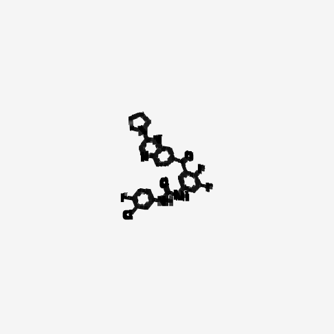 O=C(Nc1ccc(F)c(Cl)c1)Nc1cc(F)c(F)c(C(=O)c2ccc3ncc(N4CCCC4)nc3c2)c1